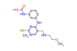 C.COCCNCc1cnc(S)nc1Nc1cccc(NC(=O)O)c1